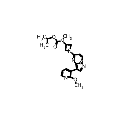 COc1ncccc1-c1cnn2ccc(N3CC(N(C)C(=O)OC(C)C)C3)nc12